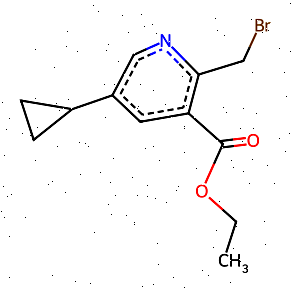 CCOC(=O)c1cc(C2CC2)cnc1CBr